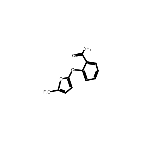 NC(=O)c1ccccc1Oc1ccc(C(F)(F)F)o1